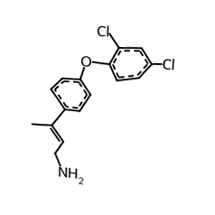 CC(=CCN)c1ccc(Oc2ccc(Cl)cc2Cl)cc1